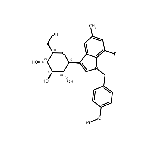 Cc1cc(F)c2c(c1)c([C@@H]1O[C@H](CO)[C@@H](O)[C@H](O)[C@H]1O)cn2Cc1ccc(OC(C)C)cc1